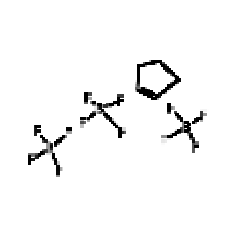 C1=CCCC1.F[B-](F)(F)F.F[B-](F)(F)F.F[B-](F)(F)F